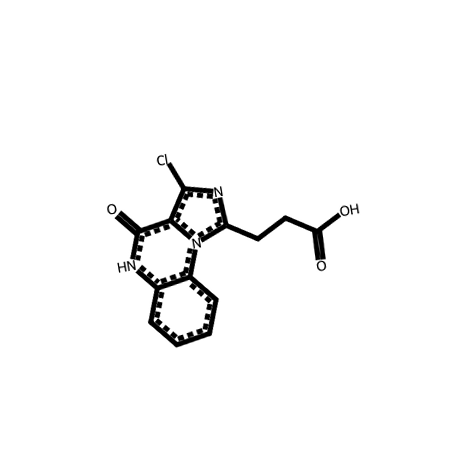 O=C(O)CCc1nc(Cl)c2c(=O)[nH]c3ccccc3n12